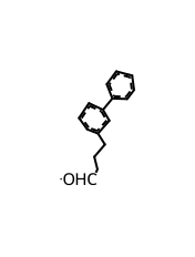 O=[C]CCCc1cccc(-c2ccccc2)c1